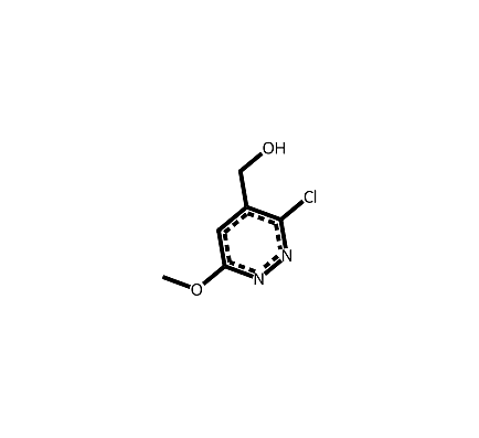 COc1cc(CO)c(Cl)nn1